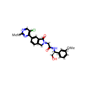 CNc1ncc(Cl)c(-c2ccc3c(c2)C(=O)N(CC(=O)N[C@H](CO)c2cccc(OC)c2)C3)n1